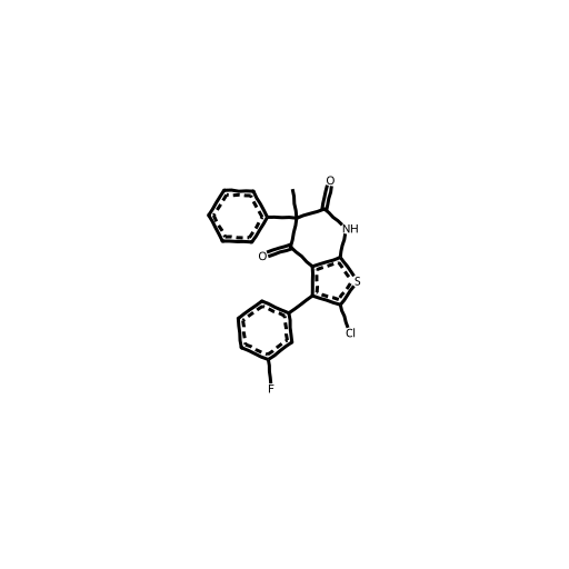 CC1(c2ccccc2)C(=O)Nc2sc(Cl)c(-c3cccc(F)c3)c2C1=O